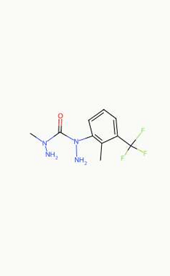 Cc1c(N(N)C(=O)N(C)N)cccc1C(F)(F)F